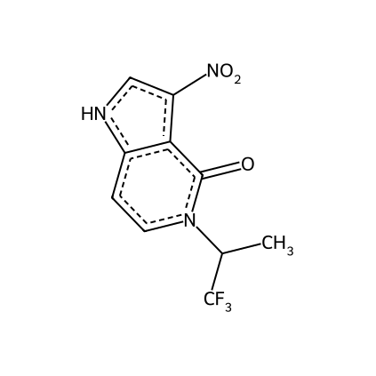 CC(n1ccc2[nH]cc([N+](=O)[O-])c2c1=O)C(F)(F)F